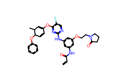 C=CC(=O)Nc1cc(Nc2ncc(F)c(OC3=CC(C)C(Oc4ccccc4)C=C3)n2)cc(OCCN2CCCC2=O)c1